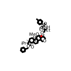 CCC(CC)(CO[C@H]1[C@H](OC)C[C@@]23COC[C@]1(C)[C@@H]2CC[C@H]1C3=CC[C@@]2(C)[C@H](C(=O)OCc3ccccc3)[C@@](C)([C@H](C)C(C)C)CC[C@]12C)NS(=O)(=O)c1ccc(C)cc1